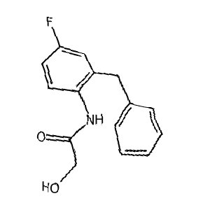 O=C(CO)Nc1ccc(F)cc1Cc1ccccc1